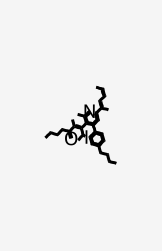 C/C=C\C=C(/C)c1cc(-c2ccc(CCCC)cc2)c(/C(=C(\C)C(=O)CCCC)C(C)I)c(C)n1